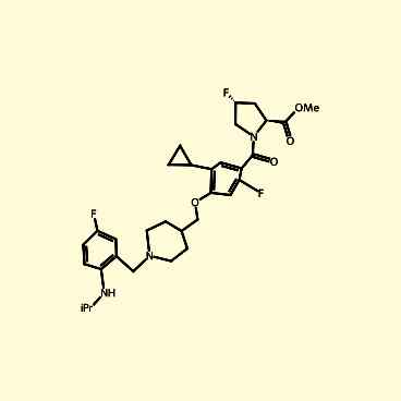 COC(=O)[C@@H]1C[C@@H](F)CN1C(=O)c1cc(C2CC2)c(OCC2CCN(Cc3cc(F)ccc3NC(C)C)CC2)cc1F